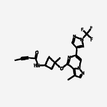 CC#CC(=O)NC1CC(C)(Oc2nc(-c3cnn(C(F)(F)F)c3)cn3ncc(C)c23)C1